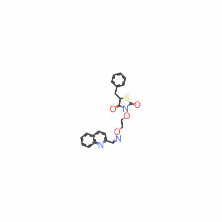 O=C1SC(Cc2ccccc2)C(=O)N1OCCO/N=C\c1ccc2ccccc2n1